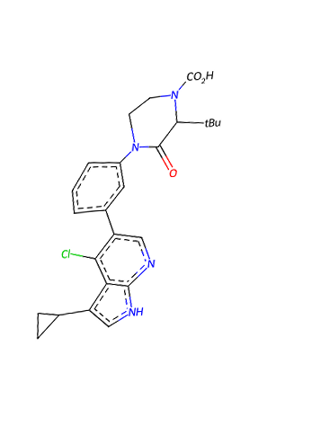 CC(C)(C)C1C(=O)N(c2cccc(-c3cnc4[nH]cc(C5CC5)c4c3Cl)c2)CCN1C(=O)O